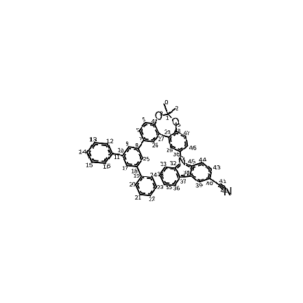 CC1(C)Oc2ccc(-c3cc(-c4ccccc4)cc(-c4ccccc4)c3)cc2-c2cc(-n3c4ccccc4c4cc(C#N)ccc43)ccc2O1